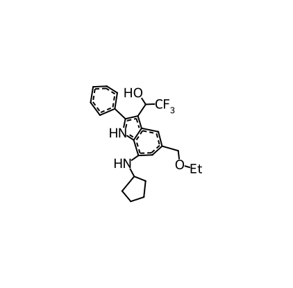 CCOCc1cc(NC2CCCC2)c2[nH]c(-c3ccccc3)c(C(O)C(F)(F)F)c2c1